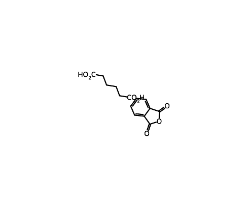 O=C(O)CCCCC(=O)O.O=C1OC(=O)c2ccccc21